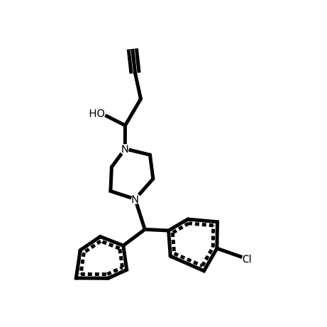 C#CCC(O)N1CCN(C(c2ccccc2)c2ccc(Cl)cc2)CC1